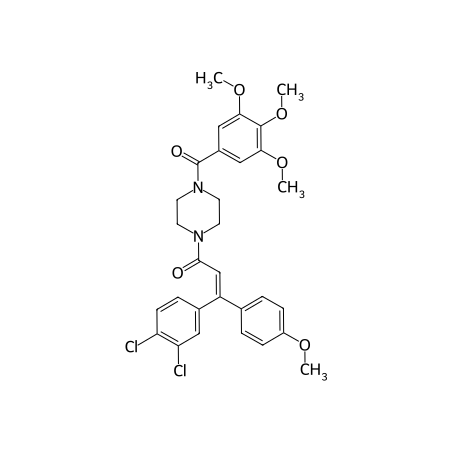 COc1ccc(C(=CC(=O)N2CCN(C(=O)c3cc(OC)c(OC)c(OC)c3)CC2)c2ccc(Cl)c(Cl)c2)cc1